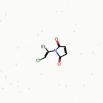 [CH2]CC(=CCl)N1C(=O)C=CC1=O